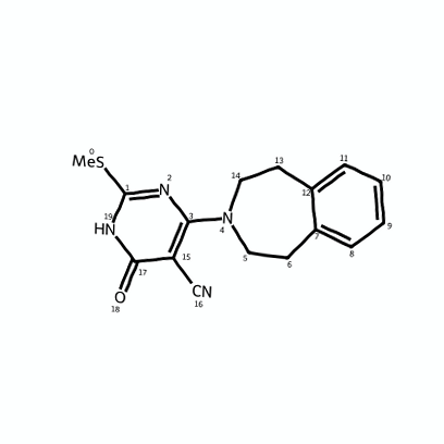 CSc1nc(N2CCc3ccccc3CC2)c(C#N)c(=O)[nH]1